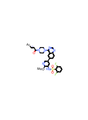 COc1ncc(-c2ccc3ncnc(N4CCN(C(=O)/C=C/C(C)=O)CC4)c3c2)cc1NS(=O)(=O)c1c(F)cccc1F